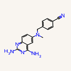 CN(Cc1ccc(C#N)cc1)c1ccc2nc(N)nc(N)c2c1